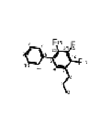 CCCc1cc(-c2ccccc2)c(F)c(F)c1F